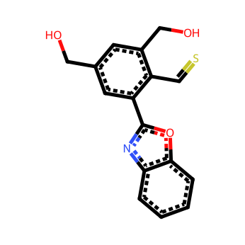 OCc1cc(CO)c(C=S)c(-c2nc3ccccc3o2)c1